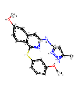 COc1cccc(Sc2nc(Nc3cc(C)[nH]n3)cc3cc(OC)ccc23)c1